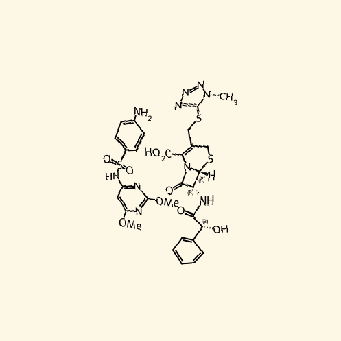 COc1cc(NS(=O)(=O)c2ccc(N)cc2)nc(OC)n1.Cn1nnnc1SCC1=C(C(=O)O)N2C(=O)[C@@H](NC(=O)[C@H](O)c3ccccc3)[C@H]2SC1